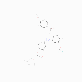 CC[C@@H](Oc1cccc(N2c3cc(OC(F)(F)F)ccc3C(C(=O)c3ccc(OC)cc3)C2C)c1)C(=O)OCC(C)C